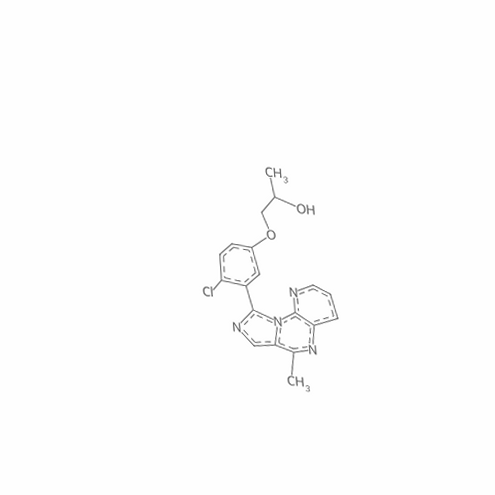 Cc1nc2cccnc2n2c(-c3cc(OCC(C)O)ccc3Cl)ncc12